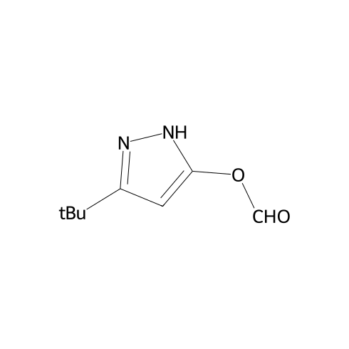 CC(C)(C)c1cc(OC=O)[nH]n1